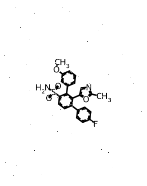 COc1cccc(-c2c(S(N)(=O)=O)ccc(-c3ccc(F)cc3)c2-c2cnc(C)o2)c1